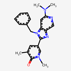 Cc1cc(-c2nc3cnc(N(C)C)cc3n2Cc2ccccc2)cn(C)c1=O